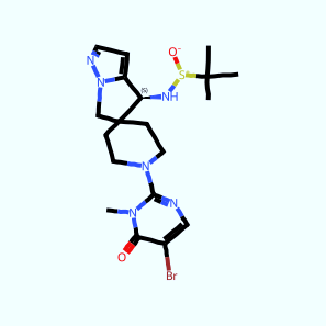 Cn1c(N2CCC3(CC2)Cn2nccc2[C@H]3N[S+]([O-])C(C)(C)C)ncc(Br)c1=O